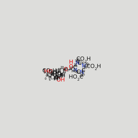 C[C@H](CCC(=O)O)[C@H]1CC[C@H]2[C@@H]3[C@H](O)C[C@@H]4C[C@H](OCC(O)CN5CCN(CC(=O)O)CCN(CC(=O)O)CCN(CC(=O)O)CC5)CC[C@]4(C)[C@H]3C[C@H](O)[C@]12C